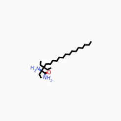 CCCCCCCCCCCCCCCC(CC)(CC)C(N)(CC)C(N)=O